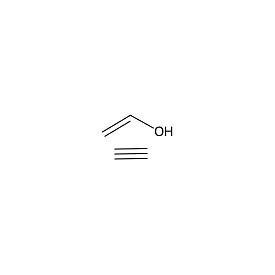 C#C.C=CO